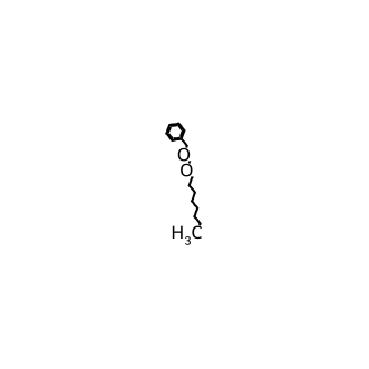 CCCCCCCCOCOCc1ccccc1